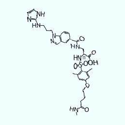 CNC(=O)CCCOc1cc(C)c(S(=O)(=O)N[C@@H](CNC(=O)c2ccc3c(cnn3CCCNc3ncc[nH]3)c2)C(=O)O)c(C)c1